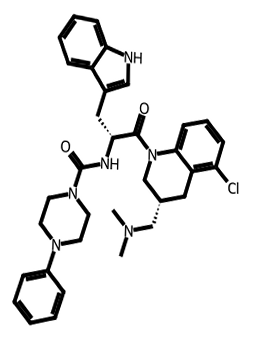 CN(C)C[C@H]1Cc2c(Cl)cccc2N(C(=O)[C@@H](Cc2c[nH]c3ccccc23)NC(=O)N2CCN(c3ccccc3)CC2)C1